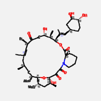 CC[C@@H]1/C=C(\C)C[C@H](C)C[C@H](OC)[C@H]2O[C@@](O)(C(=O)C(=O)N3CCCC[C@H]3C(=O)O[C@H](/C(C)=C/[C@@H]3CC[C@@H](O)[C@H](O)C3)[C@H](C)[C@@H](O)CC1=O)[C@@H](C)C[C@@H]2OC